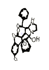 O=C1Oc2ccc(Cl)cc2C(=O)/C1=C1/C(C(=O)c2ccccc2)=C2NCCN2C1(O)c1ccccc1